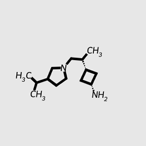 CC(C)C1CCN(CC(C)[C@H]2C[C@@H](N)C2)C1